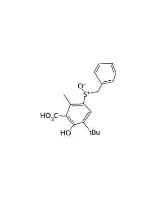 Cc1c([S+]([O-])Cc2ccccc2)cc(C(C)(C)C)c(O)c1C(=O)O